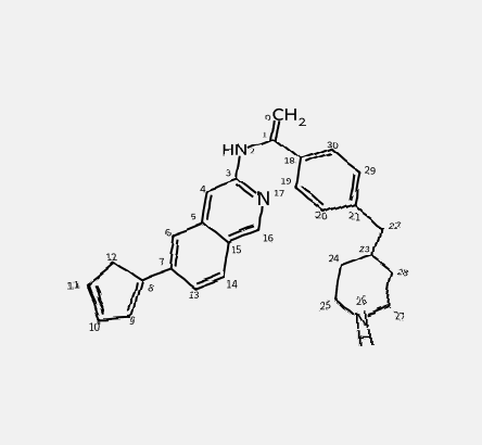 C=C(Nc1cc2cc(C3=CC=CC3)ccc2cn1)c1ccc(CC2CCNCC2)cc1